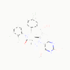 COc1ncc(N2N[C@@H]3C(=O)N(c4cccc(Cl)c4F)C(c4ccc(Cl)cc4)C3=C2C(C)CO)c(OC)n1